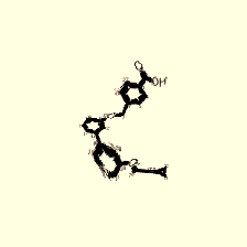 O=C(O)c1ccc(COc2cccc(-c3cncc(OCC4CC4)c3)c2)cc1